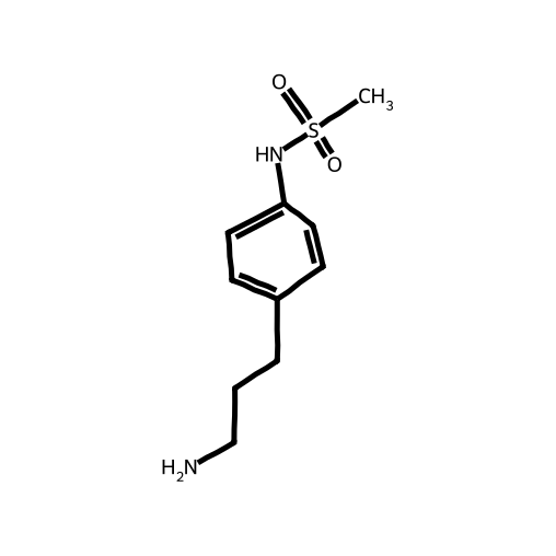 CS(=O)(=O)Nc1ccc(CCCN)cc1